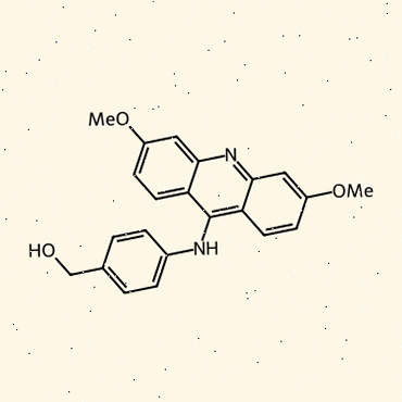 COc1ccc2c(Nc3ccc(CO)cc3)c3ccc(OC)cc3nc2c1